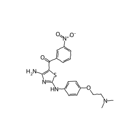 CN(C)CCOc1ccc(Nc2nc(N)c(C(=O)c3cccc([N+](=O)[O-])c3)s2)cc1